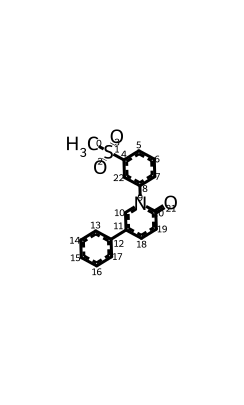 CS(=O)(=O)c1cccc(-n2cc(-c3ccccc3)ccc2=O)c1